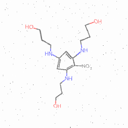 O=[N+]([O-])c1c(NCCCO)cc(NCCCO)cc1NCCCO